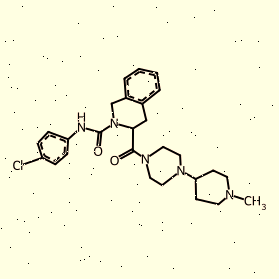 CN1CCC(N2CCN(C(=O)C3Cc4ccccc4CN3C(=O)Nc3ccc(Cl)cc3)CC2)CC1